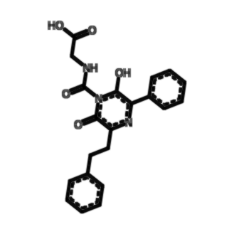 O=C(O)CNC(=O)n1c(O)c(-c2ccccc2)nc(CCc2ccccc2)c1=O